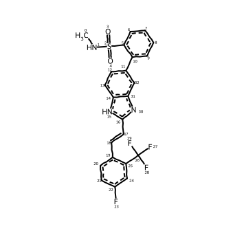 CNS(=O)(=O)c1ccccc1-c1ccc2[nH]c(/C=C/c3ccc(F)cc3C(F)(F)F)nc2c1